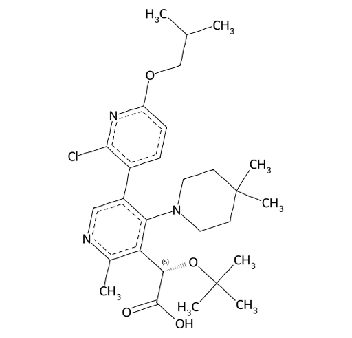 Cc1ncc(-c2ccc(OCC(C)C)nc2Cl)c(N2CCC(C)(C)CC2)c1[C@H](OC(C)(C)C)C(=O)O